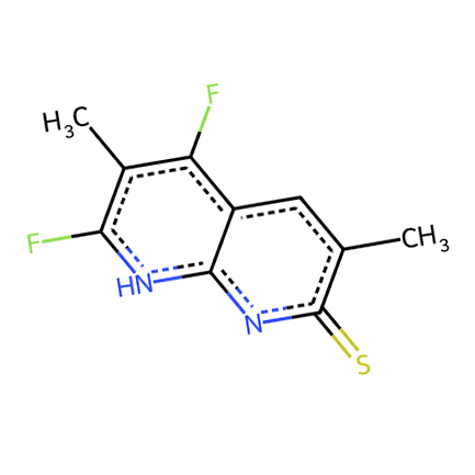 Cc1c(F)[nH]c2nc(=S)c(C)cc-2c1F